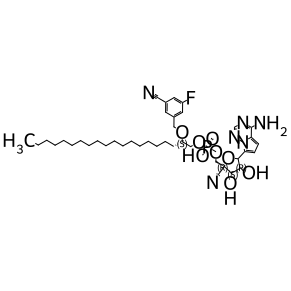 CCCCCCCCCCCCCCCCCC[C@@H](COP(=O)(O)OC[C@@]1(C#N)OC(c2ccc3c(N)ncnn23)[C@H](O)[C@@H]1O)OCc1cc(F)cc(C#N)c1